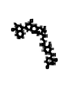 COc1cc(-c2cn(C)c(=O)c3cnccc23)cc(Cl)c1CN1CC[C@H](NCCNc2ccc(N[C@@H]3CCC(=O)NC3=O)cc2F)C(F)(F)C1